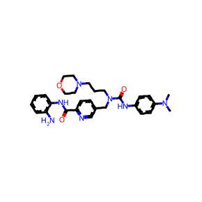 CN(C)c1ccc(NC(=O)N(CCCN2CCOCC2)Cc2ccc(C(=O)Nc3ccccc3N)nc2)cc1